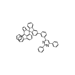 c1ccc(-c2cc(-c3cccc(-c4ccc5c(c4)-c4ccccc4C54c5ccccc5C5(c6ccccc6)c6ccccc6-c6cccc4c65)c3)nc(-c3ccccc3)n2)cc1